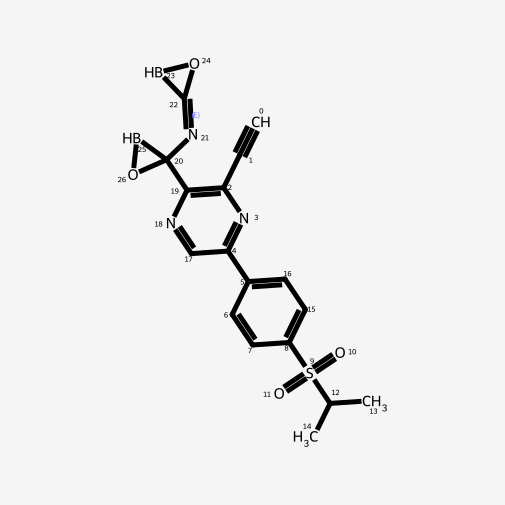 C#Cc1nc(-c2ccc(S(=O)(=O)C(C)C)cc2)cnc1C1(/N=C2\BO2)BO1